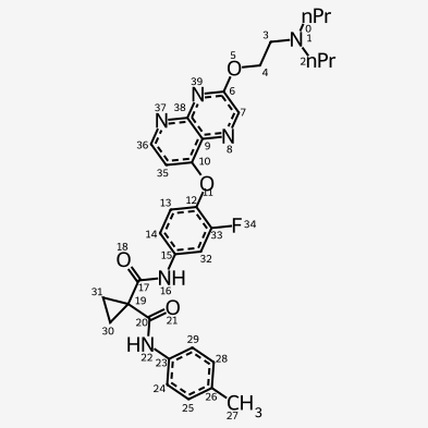 CCCN(CCC)CCOc1cnc2c(Oc3ccc(NC(=O)C4(C(=O)Nc5ccc(C)cc5)CC4)cc3F)ccnc2n1